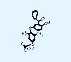 Cc1cc(NC(=O)C(=O)O)cc(C)c1Oc1ccc(O)c(C(=O)c2ccccc2)c1